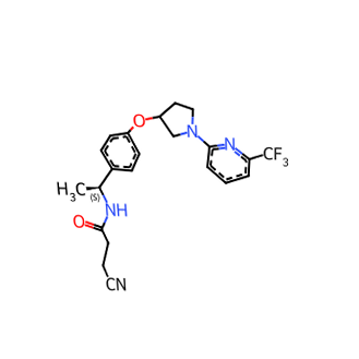 C[C@H](NC(=O)CCC#N)c1ccc(OC2CCN(c3cccc(C(F)(F)F)n3)C2)cc1